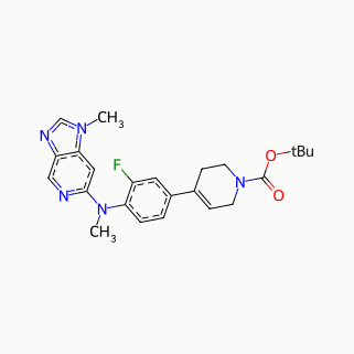 CN(c1cc2c(cn1)ncn2C)c1ccc(C2=CCN(C(=O)OC(C)(C)C)CC2)cc1F